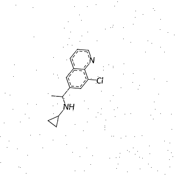 CC(NC1CC1)c1cc(Cl)c2ncccc2c1